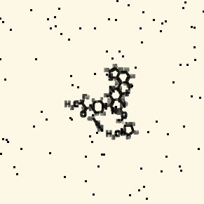 CC(F)C(=O)N1CCN(c2nc(OC[C@@H]3CCCN3C)nc3c(F)c(-c4c(F)ccc5ccsc45)ncc23)C[C@@H]1CC#N